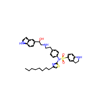 CCCCCCCCc1csc(N(c2ccc(CCNCC(O)c3ccc4[nH]ccc4c3)cc2)S(=O)(=O)c2ccc3c(c2)CCN3)n1